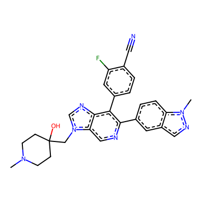 CN1CCC(O)(Cn2cnc3c(-c4ccc(C#N)c(F)c4)c(-c4ccc5c(cnn5C)c4)ncc32)CC1